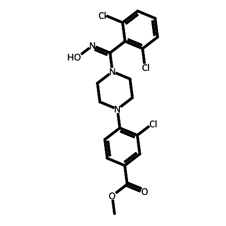 COC(=O)c1ccc(N2CCN(/C(=N\O)c3c(Cl)cccc3Cl)CC2)c(Cl)c1